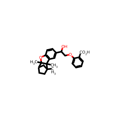 CC12CCC(C1)C1(C)Oc3ccc(C(O)COc4ccccc4C(=O)O)cc3C21C